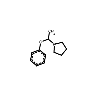 CC(Oc1cc[c]cc1)N1CCCC1